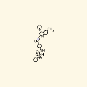 Cc1ccc2nc(/C=C/C(=O)c3ccc(NC(=O)NS(=O)(=O)c4ccccc4)cc3)cc(N3CCCCC3)c2c1